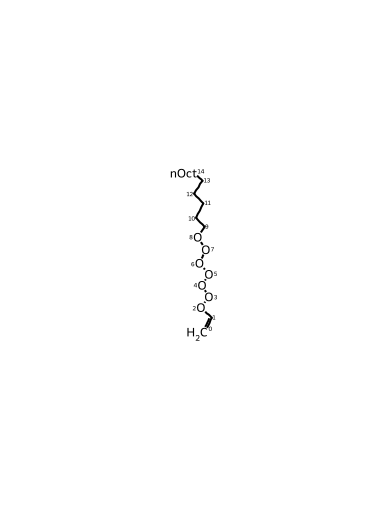 C=COOOOOOOCCCCCCCCCCCCC